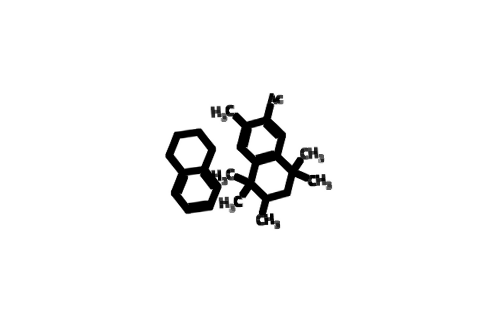 CC(=O)c1cc2c(cc1C)C(C)(C)C(C)CC2(C)C.c1ccc2c(c1)CCCC2